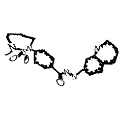 CN1CCCN(c2ccc(C(=O)N=Nc3ccc4cccnc4c3)cc2)S1(=O)=O